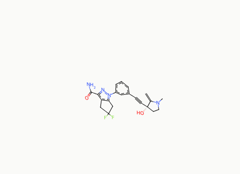 C=C1N(C)CC[C@@]1(O)C#Cc1cccc(-n2nc(C(N)=O)c3c2CC(F)(F)C3)c1